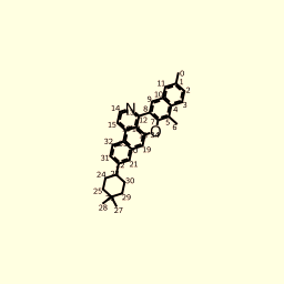 Cc1ccc2c(C)c3c(cc2c1)-c1nccc2c1c(cc1cc(C4CCC(C)(C)CC4)ccc12)O3